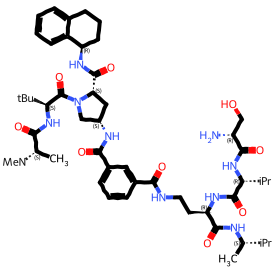 CN[C@@H](C)C(=O)N[C@H](C(=O)N1C[C@@H](NC(=O)c2cccc(C(=O)NCC[C@@H](NC(=O)[C@H](NC(=O)[C@H](N)CO)C(C)C)C(=O)N[C@@H](C)C(C)C)c2)C[C@H]1C(=O)N[C@@H]1CCCc2ccccc21)C(C)(C)C